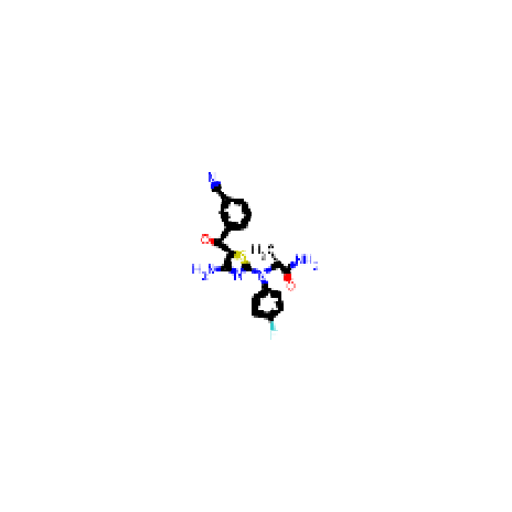 C[C@H](C(N)=O)N(c1ccc(F)cc1)c1nc(N)c(C(=O)c2cccc(C#N)c2)s1